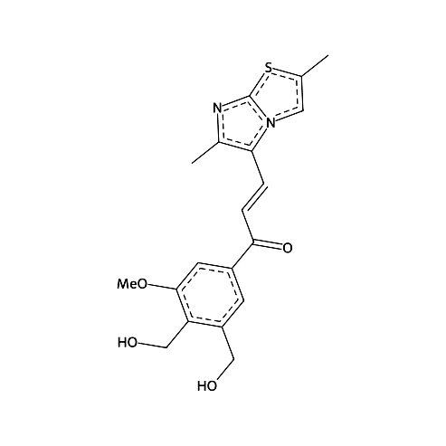 COc1cc(C(=O)/C=C/c2c(C)nc3sc(C)cn23)cc(CO)c1CO